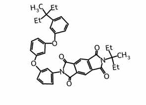 CCC(C)(CC)c1cccc(Oc2cccc(Oc3cccc(-n4c(=O)c5cc6c(=O)n(C(C)(CC)CC)c(=O)c6cc5c4=O)c3)c2)c1